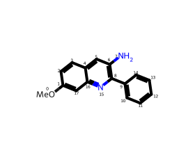 COc1ccc2cc(N)c(-c3ccccc3)nc2c1